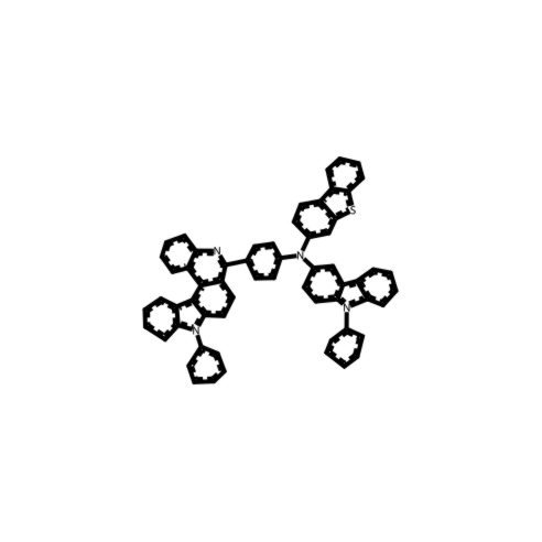 c1ccc(-n2c3ccccc3c3cc(N(c4ccc(-c5nc6ccccc6c6c5ccc5c6c6ccccc6n5-c5ccccc5)cc4)c4ccc5c(c4)sc4ccccc45)ccc32)cc1